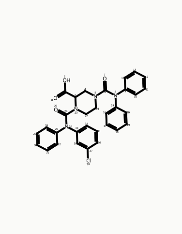 O=C(O)C1CN(C(=O)N(c2ccccc2)c2ccccc2)CCN1C(=O)N(c1ccccc1)c1cccc(Cl)c1